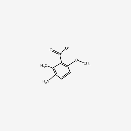 COc1ccc(N)c(C)c1[N+](=O)[O-]